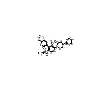 COc1ccc(-c2c(S(N)(=O)=O)ccc(N3CCN(c4ncccn4)CC3)c2[N+](=O)[O-])cn1